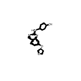 OC1CCC(Nc2ncc3ccc(O[C@@H]4CCOC4)cc3n2)CC1